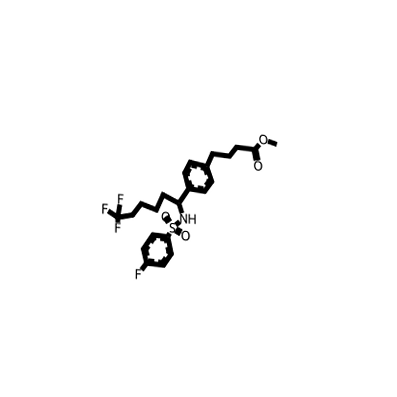 COC(=O)CCCc1ccc(C(CCCCC(F)(F)F)NS(=O)(=O)c2ccc(F)cc2)cc1